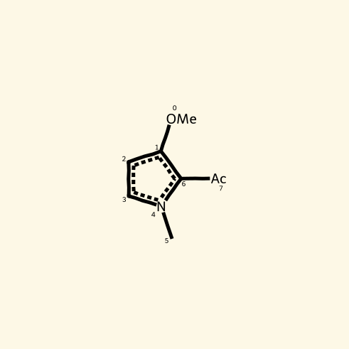 COc1ccn(C)c1C(C)=O